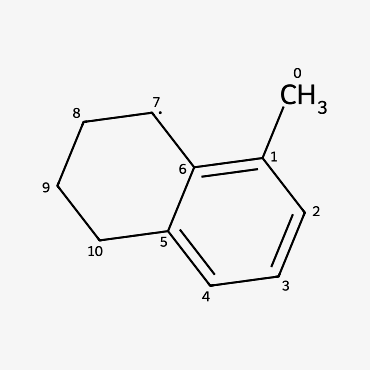 Cc1cccc2c1[CH]CCC2